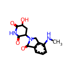 CNc1cccc2c1CN(C1CC(O)C(=O)NC1=O)C2=O